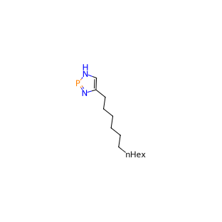 CCCCCCCCCCCCc1c[nH]pn1